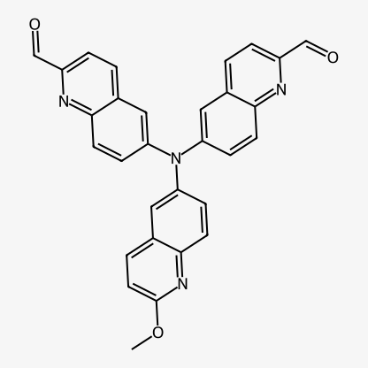 COc1ccc2cc(N(c3ccc4nc(C=O)ccc4c3)c3ccc4nc(C=O)ccc4c3)ccc2n1